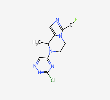 CC1c2cnc(CF)n2CCN1c1cnnc(Cl)n1